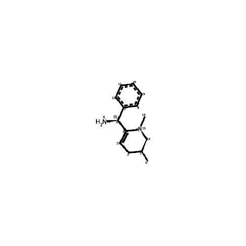 CC1CC=C([C@@H](N)c2ccccc2)N(C)C1